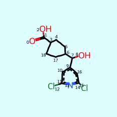 O=C(O)C1CCC(C(O)c2cc(Cl)nc(Cl)c2)CC1